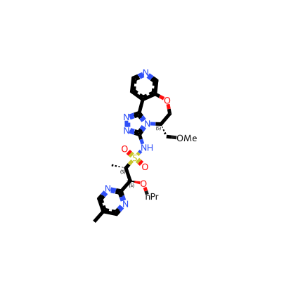 CCCO[C@@H](c1ncc(C)cn1)[C@H](C)S(=O)(=O)Nc1nnc2n1[C@@H](COC)COc1cnccc1-2